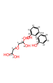 OC(O)COCC(O)O.Oc1ccccc1.Oc1ccccc1